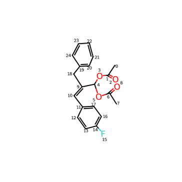 CC(=O)OC(OC(C)=O)C(=Cc1ccc(F)cc1)Cc1ccccc1